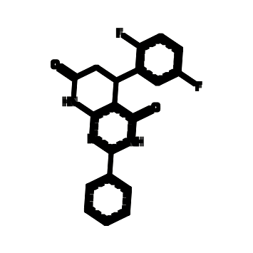 O=C1CC(c2cc(F)ccc2F)c2c(nc(-c3ccccc3)[nH]c2=O)N1